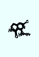 CC(C)Nc1nc(Cl)cc2cc[nH]c(=O)c12